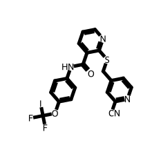 N#Cc1cc(CSc2ncccc2C(=O)Nc2ccc(OC(F)(F)I)cc2)ccn1